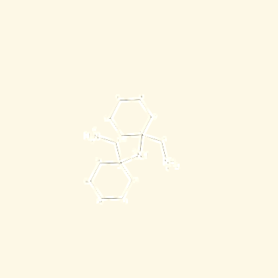 NCC1(NC2(CN)CCCCC2)CCCCC1